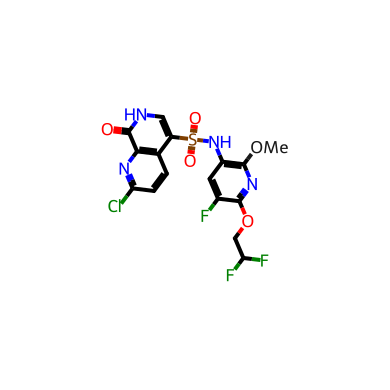 COc1nc(OCC(F)F)c(F)cc1NS(=O)(=O)c1c[nH]c(=O)c2nc(Cl)ccc12